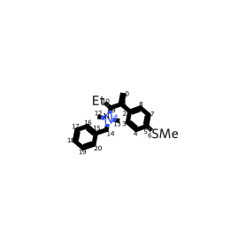 C=C(c1ccc(SC)cc1)C(CC)[N+](C)(C)Cc1ccccc1